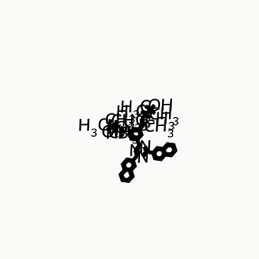 COC(C)(C)C(C)(C)OBc1cc(B(C)OC(C)(C)C(C)(C)O)cc(-c2nc(-c3ccc4ccccc4c3)nc(-c3ccc4ccccc4c3)n2)c1